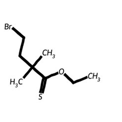 CCOC(=S)C(C)(C)CCBr